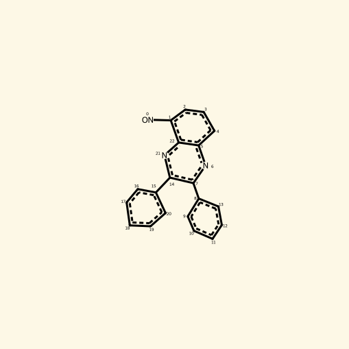 O=Nc1cccc2nc(-c3ccccc3)c(-c3ccccc3)nc12